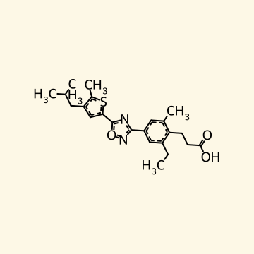 CCc1cc(-c2noc(-c3cc(CC(C)C)c(C)s3)n2)cc(C)c1CCC(=O)O